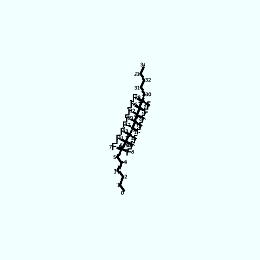 CCCCCCC(F)(F)C(F)(F)C(F)(F)C(F)(F)C(F)(F)C(F)(F)C(F)(F)C(F)(F)CCCCC